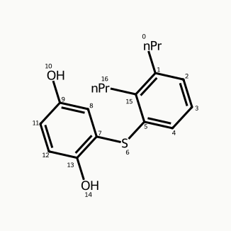 CCCc1cccc(Sc2cc(O)ccc2O)c1CCC